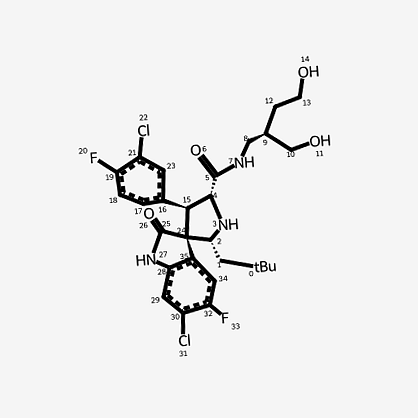 CC(C)(C)C[C@H]1N[C@@H](C(=O)NC[C@H](CO)CCO)[C@H](c2ccc(F)c(Cl)c2)[C@@]12C(=O)Nc1cc(Cl)c(F)cc12